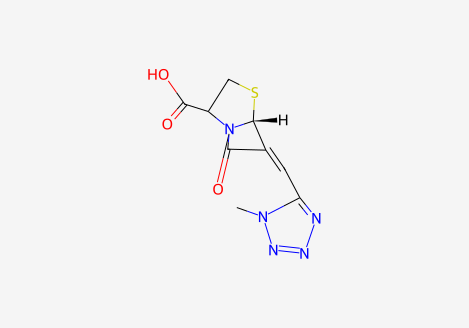 Cn1nnnc1C=C1C(=O)N2C(C(=O)O)CS[C@H]12